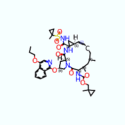 CCCOc1cnc(O[C@@H]2C[C@H]3C(=O)N[C@]4(C(=O)NS(=O)(=O)C5(C)CC5)C[C@H]4/C=C\CC[C@@H](C)C[C@@H](C)[C@H](NC(=O)OCC4(C)CC4)C(=O)N3C2)c2ccccc12